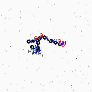 CC(C)n1cnc2cc(-c3ccc4c(c3)N(C3CC(N5CCCCC5)C3)C(=O)C43CCN(C(=O)C4CCN(CCC5CCN(c6ccc([C@H]7CCC(=O)NC7=O)cn6)CC5)CC4)CC3)nc(Nc3ccccc3F)c21